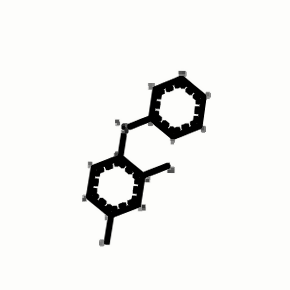 Cc1ccc(Sc2ccccc2)c(C)c1